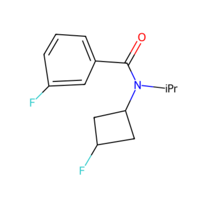 CC(C)N(C(=O)c1cccc(F)c1)C1CC(F)C1